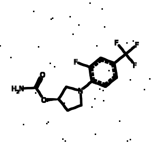 NC(=O)O[C@@H]1CCN(c2ccc(C(F)(F)F)cc2F)C1